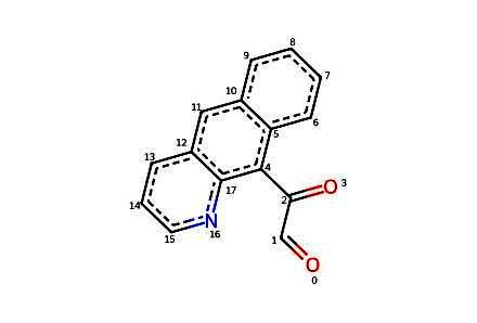 O=CC(=O)c1c2ccccc2cc2cccnc12